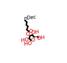 CCCCCCCCCCCCCCCC(=O)O[C@H]1[C@@H](O)[C@@H](CO)OC(O)[C@@H]1O